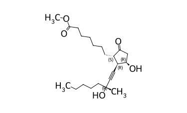 CCCCC[C@@](C)(O)C#C[C@@H]1[C@H](O)CC(=O)[C@H]1CCCCCCC(=O)OC